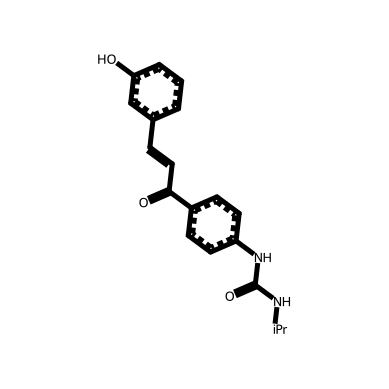 CC(C)NC(=O)Nc1ccc(C(=O)/C=C/c2cccc(O)c2)cc1